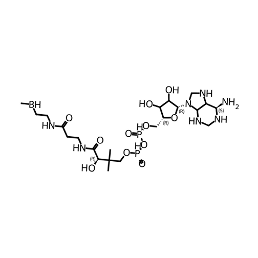 CBCCNC(=O)CCNC(=O)[C@H](O)C(C)(C)CO[PH](=O)O[PH](=O)OC[C@H]1O[C@@H](N2CNC3C2NCN[C@@H]3N)C(O)C1O